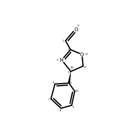 O=CC1=N[C@H](c2ccccc2)CO1